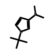 CN(C)c1ccn(C(C)(C)C)c1